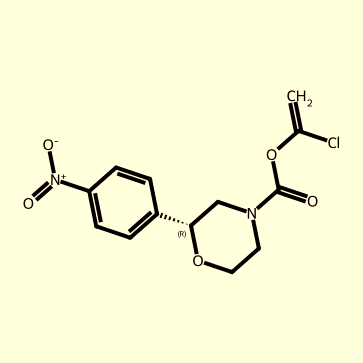 C=C(Cl)OC(=O)N1CCO[C@H](c2ccc([N+](=O)[O-])cc2)C1